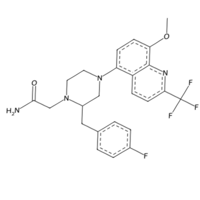 COc1ccc(N2CCN(CC(N)=O)C(Cc3ccc(F)cc3)C2)c2ccc(C(F)(F)F)nc12